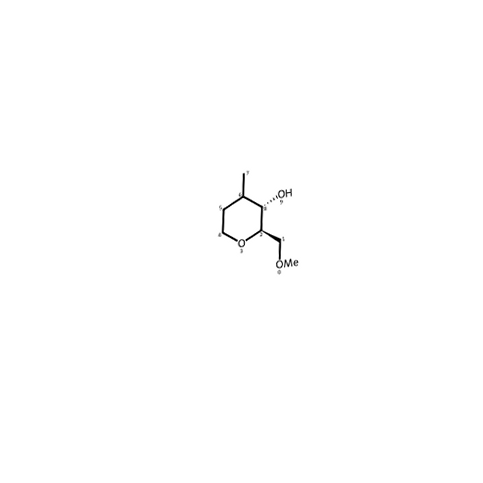 COC[C@H]1OCCC(C)[C@@H]1O